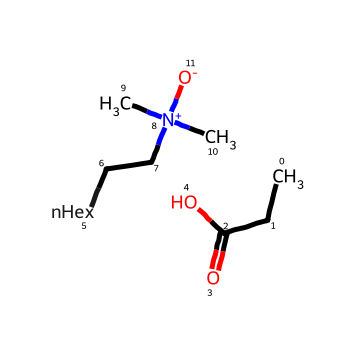 CCC(=O)O.CCCCCCCC[N+](C)(C)[O-]